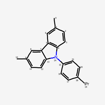 Cc1ccc2c(c1)c1cc(C)ccc1n2-c1ccc(C(C)C)cc1